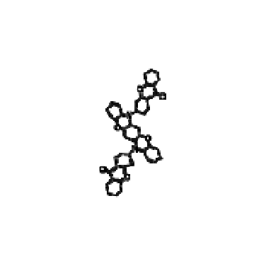 O=c1c2ccccc2oc2cc(-n3c4ccccc4oc4cc5c(cc43)oc3ccccc3n5-c3ccc4c(=O)c5ccccc5oc4c3)ccc12